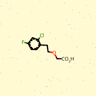 O=C(O)COCCc1ccc(F)cc1Cl